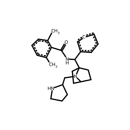 Cc1cccc(C)c1C(=O)NC(c1ccccc1)C12CCC(CC1)N2CC1CCCN1